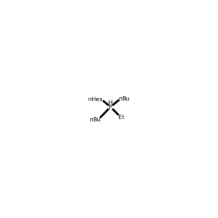 CCCCCC[PH](CC)(CCCC)CCCC